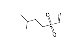 C=CS(=O)(=O)CCC(C)C